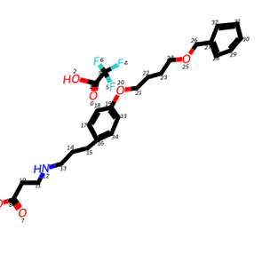 O=C(O)C(F)(F)F.O=C(O)CCNCCCc1ccc(OCCCCOCc2ccccc2)cc1